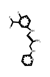 N/C(=C\Nc1ccc(F)c(C(F)F)c1)CNc1ccccn1